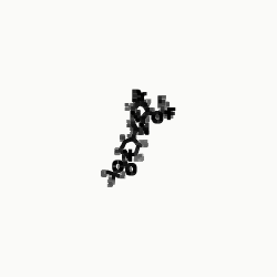 CC(C)(C)OC(=O)N1CCC(c2cn3cc(Br)cc(OC(F)F)c3n2)CC1